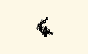 CCn1cncc1Cn1c(CN2C[C@@H]3C(c4nc(OCc5ccc(C#N)cc5F)ccc4F)[C@@H]3C2)nc2c(OC)cc(C(=O)O)cc21